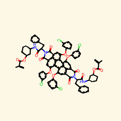 C=C(C)C(=O)OC1CCCC(NC(=O)C(Cc2ccccc2)N2C(=O)c3cc(Oc4cccc(Cl)c4)c4c5c(Oc6cccc(Cl)c6)cc6c7c(cc(Oc8cccc(Cl)c8)c(c8c(Oc9cccc(Cl)c9)cc(c3c48)C2=O)c75)C(=O)N(C(Cc2ccccc2)C(=O)NC2CCCC(OC(=O)C(=C)C)C2)C6=O)C1